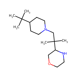 CC(C)(C)C1CCN(CC(C)(C)C2COCCN2)CC1